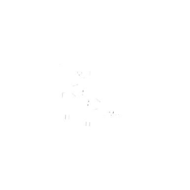 COc1ccc(-c2cc(F)c(CC(C(=O)O)C3CC3)c(F)c2)c2c1OC(C)(C)C2